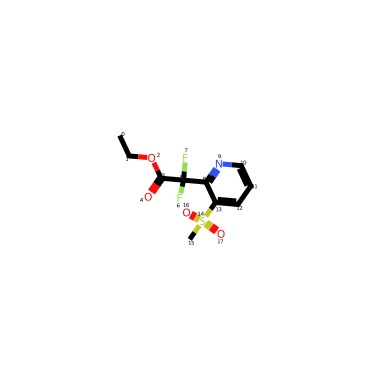 CCOC(=O)C(F)(F)c1ncccc1S(C)(=O)=O